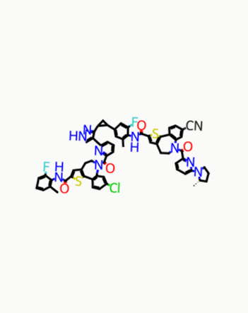 Cc1cccc(F)c1NC(=O)c1cc2c(s1)-c1ccc(Cl)cc1N(C(=O)c1cccc(-c3c[nH]nc3C3CC3c3cc(C)c(NC(=O)c4cc5c(s4)-c4ccc(C#N)cc4N(C(=O)c4cccc(N6CCC[C@@H]6C)n4)CC5)c(F)c3)n1)CC2